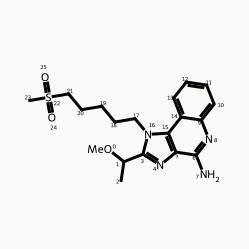 COC(C)c1nc2c(N)nc3ccccc3c2n1CCCCCS(C)(=O)=O